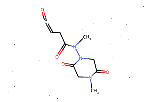 CN1CC(=O)N(N(C)C(=O)CC=C=O)CC1=O